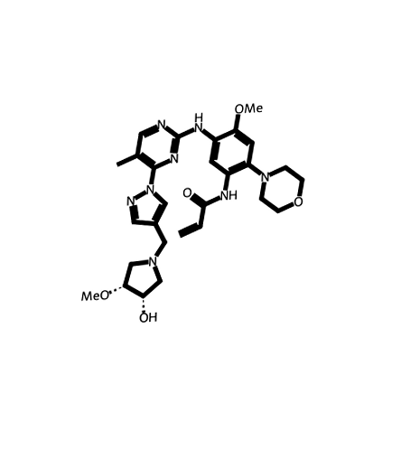 C=CC(=O)Nc1cc(Nc2ncc(C)c(-n3cc(CN4C[C@H](O)[C@H](OC)C4)cn3)n2)c(OC)cc1N1CCOCC1